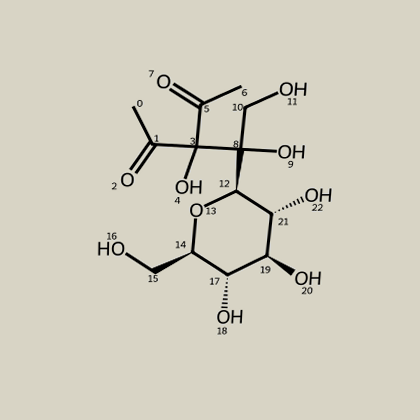 CC(=O)C(O)(C(C)=O)C(O)(CO)[C@@H]1O[C@H](CO)[C@@H](O)[C@H](O)[C@H]1O